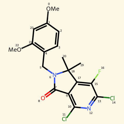 COc1ccc(CN2C(=O)c3c(Cl)nc(Cl)c(F)c3C2(C)C)c(OC)c1